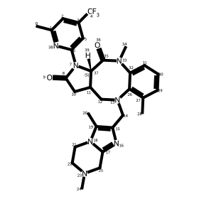 Cc1cc(C(F)(F)F)cc(N2C(=O)CC3CN(Cc4nc5n(c4C)CCN(C)C5)c4c(C)cccc4N(C)C(=O)[C@H]32)n1